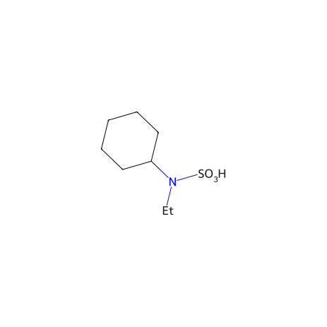 CCN(C1CCCCC1)S(=O)(=O)O